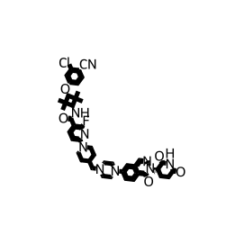 CC1(C)[C@H](NC(=O)c2ccc(N3CCC(CN4CCN(c5ccc6c(=O)n([C@@H]7CCC(=O)NC7=O)ncc6c5)CC4)CC3)nc2F)C(C)(C)[C@H]1Oc1ccc(C#N)c(Cl)c1